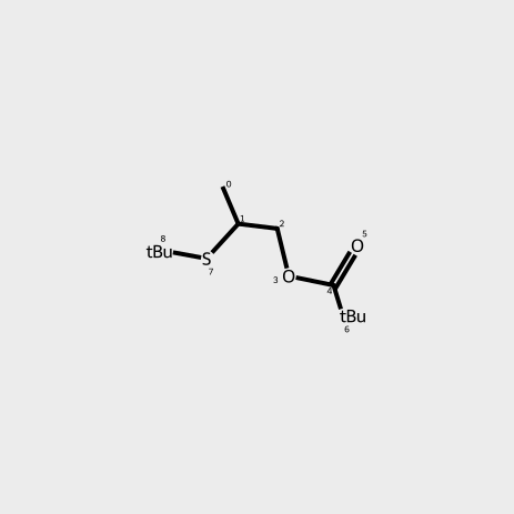 CC(COC(=O)C(C)(C)C)SC(C)(C)C